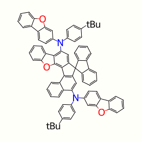 CC(C)(C)c1ccc(N(c2ccc3c(c2)oc2ccccc23)c2cc3c(c4ccccc24)-c2c(cc(N(c4ccc(C(C)(C)C)cc4)c4ccc5c(c4)oc4ccccc45)c4c2oc2ccccc24)C32c3ccccc3-c3ccccc32)cc1